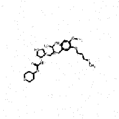 COCCCOc1cc(C[C@@H](C[C@@H]2CNC[C@H]2NC(=O)OC2CCOCC2)C(C)C)ccc1OC